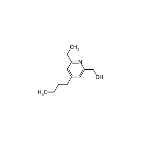 CCCCc1cc(CC)nc(CO)c1